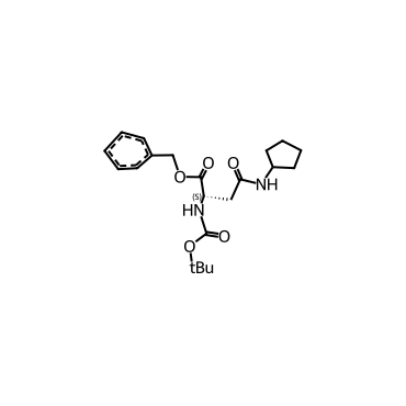 CC(C)(C)OC(=O)N[C@@H](CC(=O)NC1CCCC1)C(=O)OCc1ccccc1